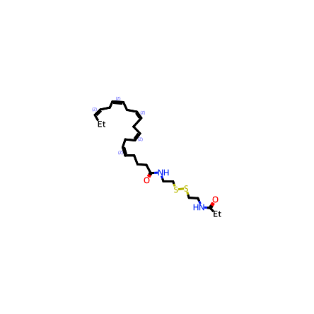 CC/C=C\C/C=C\C/C=C\C/C=C\C/C=C\CCCC(=O)NCCSSCCNC(=O)CC